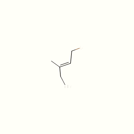 [CH2]C(=CCBr)CCCC